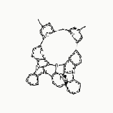 Cc1cc2cc(c1)-c1ccc3c(c1)c1c4n(c5ccccc5n34)-c3cccc4c3B1c1c3cc(ccc3n3c5ccccc5n-4c13)-c1cc(C)cc(c1)C2